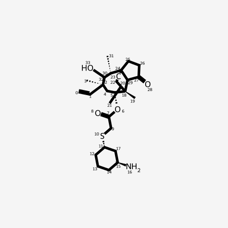 C=C[C@]1(C)C[C@@H](OC(=O)CS[C@H]2CCC[C@H](N)C2)[C@]2(C)C(C)CCC3(CCC(=O)C32)[C@@H](C)C1O